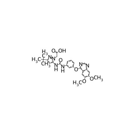 COc1cc2ncnc(Oc3cccc(NC(=O)Nc4cc(C(C)(C)C)nn4CC(=O)O)c3)c2cc1OC